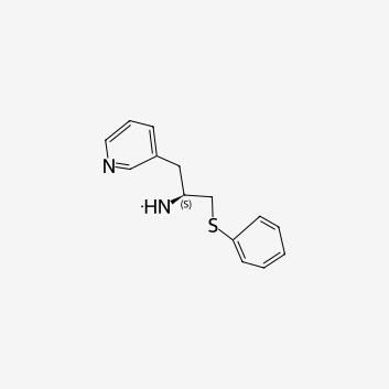 [NH][C@H](CSc1ccccc1)Cc1cccnc1